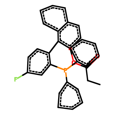 CCC(=O)Oc1ccc2ccccc2c1-c1ccc(F)cc1P(c1ccccc1)c1ccccc1